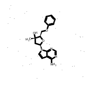 C[C@]1(O)C[C@H](n2ccc3c(N)ncnc32)O[C@@H]1COc1ccccc1